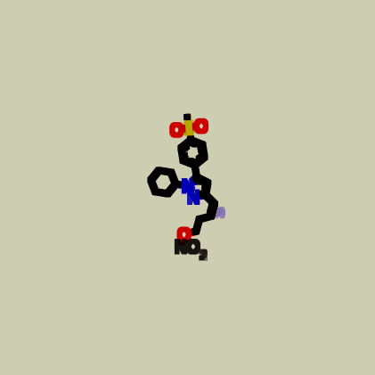 CS(=O)(=O)c1ccc(-c2cc(/C=C\CCO[N+](=O)[O-])nn2C2CCCCC2)cc1